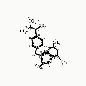 CCc1nc2c(C)cc(C)nc2n1Cc1ccc(C(C(C)C)C(C)C(=O)O)cc1